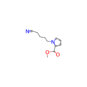 COC(=O)c1cccn1CCCCC#N